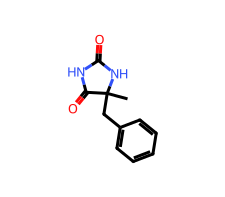 CC1(Cc2ccccc2)NC(=O)NC1=O